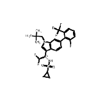 CC(C)(C)Cn1cc([C@H](NS(=O)(=O)C2CC2)C(F)F)c2ccc(-c3c(F)cccc3C(F)(F)F)cc21